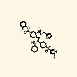 O=C(NCc1cccs1)[C@@H]1CN(C(=O)Oc2ccccc2Cl)CCN1C(=O)[C@H](NC1CCCCC1)C1CCN(S(=O)(=O)c2cn[nH]c2)CC1